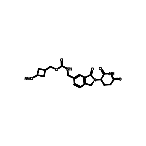 COC1CC(COC(=O)NCc2ccc3c(c2)C(=O)N(C2CCC(=O)NC2=O)C3)C1